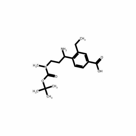 CCc1cc(C(=O)O)ccc1C(N)CCN(C)C(=O)OC(C)(C)C